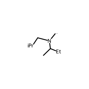 [CH2]N(CC(C)C)C(C)CC